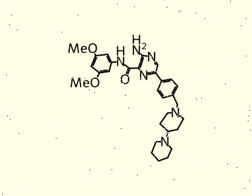 COc1cc(NC(=O)c2nc(-c3ccc(CN4CCC(N5CCCCC5)CC4)cc3)cnc2N)cc(OC)c1